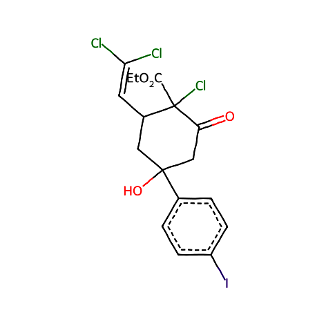 CCOC(=O)C1(Cl)C(=O)CC(O)(c2ccc(I)cc2)CC1C=C(Cl)Cl